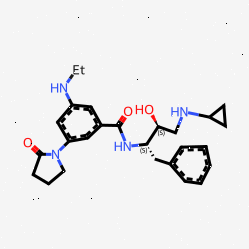 CCNc1cc(C(=O)N[C@@H](Cc2ccccc2)[C@@H](O)CNC2CC2)cc(N2CCCC2=O)c1